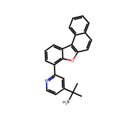 BC(C)(C)c1ccnc(-c2cccc3c2oc2ccc4ccccc4c23)c1